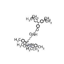 Cc1ccc2c(c1)C(C)(C)C(/C=C/C=C1\Nc3ccc(C)cc3C1(C)C)=[N+]2CCCCCC(=O)NCCCOc1ccc(C(=C2C=CC(=[N+](C)C)C=C2)c2ccc(N(C)C)cc2)cc1